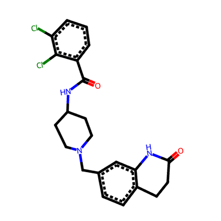 O=C1CCc2ccc(CN3CCC(NC(=O)c4cccc(Cl)c4Cl)CC3)cc2N1